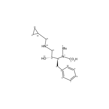 CC(C)(C)N(C(=O)O)[C@@H](Cc1ccccc1)[C@H](O)CNCC1CC1